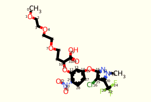 COCCOCCOCCC(Oc1cc(Oc2nn(C)c(C(F)(F)F)c2Cl)ccc1[N+](=O)[O-])C(=O)O